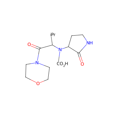 CC(C)C(C(=O)N1CCOCC1)N(C(=O)O)C1CCNC1=O